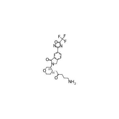 NCCCC(=O)C[C@@H]1CCOC[C@H]1N1Cc2ccc(-c3noc(C(F)(F)F)n3)cc2C1=O